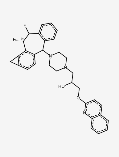 OC(COc1ccc2ccccc2n1)CN1CCN(C2c3ccccc3C(F)[C@@H](F)c3c2ccc2c3C2)CC1